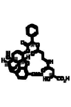 COc1ccc2c3c1O[C@@H]1C(OC(=O)[C@H](OC(=O)CCNC(=O)C[C@H](O)C(=O)O)c4ccccc4)=CC[C@]4(O)[C@@H](CCC[C@@]314)C2